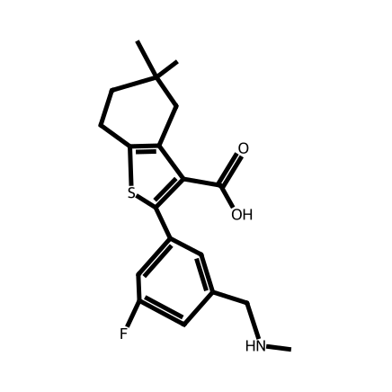 CNCc1cc(F)cc(-c2sc3c(c2C(=O)O)CC(C)(C)CC3)c1